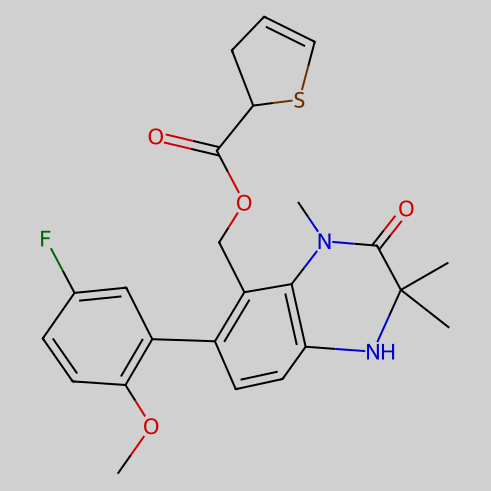 COc1ccc(F)cc1-c1ccc2c(c1COC(=O)C1CC=CS1)N(C)C(=O)C(C)(C)N2